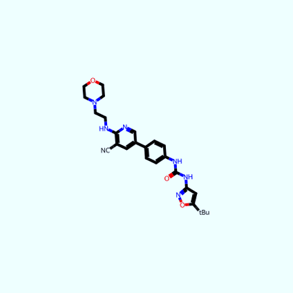 CC(C)(C)c1cc(NC(=O)Nc2ccc(-c3cnc(NCCN4CCOCC4)c(C#N)c3)cc2)no1